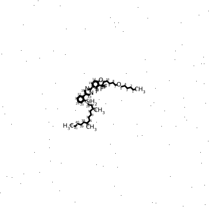 CCCCCCOCCCCC1Oc2ccc(-c3ncc(-c4ccccc4[SiH2]CCC(C)CCCCC(C)CCCCC)cn3)c(F)c2C1(F)F